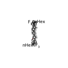 CCCCCC[C@H](OC(=O)c1ccc2cc(-c3ccc(-c4ccc5cc(C(=O)O[C@@H](CCCCCC)C(F)(F)F)ccc5c4)cc3)ccc2c1)C(F)(F)F